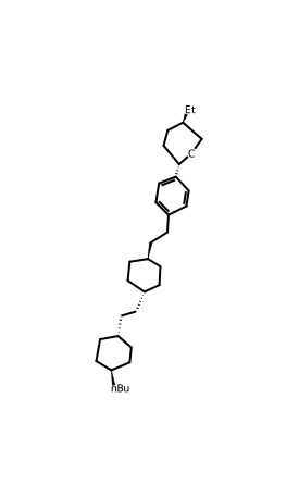 CCCC[C@H]1CC[C@H](CC[C@H]2CC[C@H](CCc3ccc([C@H]4CC[C@H](CC)CC4)cc3)CC2)CC1